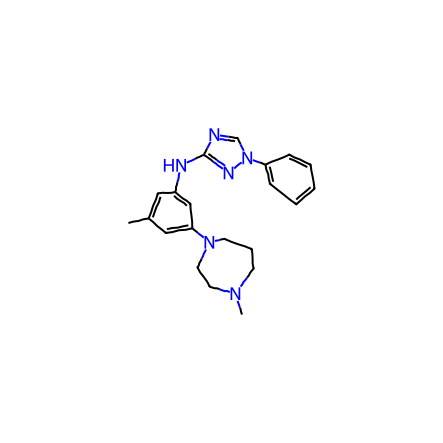 Cc1cc(Nc2ncn(-c3ccccc3)n2)cc(N2CCCN(C)CC2)c1